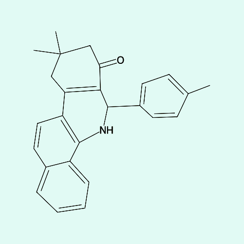 Cc1ccc(C2Nc3c(ccc4ccccc34)C3=C2C(=O)CC(C)(C)C3)cc1